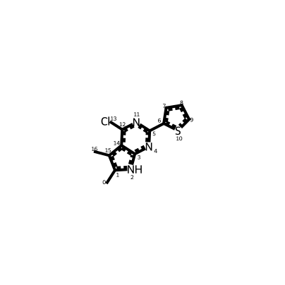 Cc1[nH]c2nc(-c3cccs3)nc(Cl)c2c1C